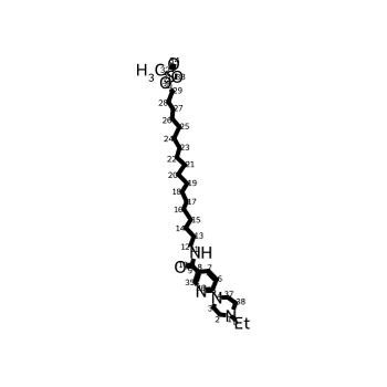 CCN1CCN(c2ccc(C(=O)NCCCCCCCCCCCCCCCCCCOS(C)(=O)=O)cn2)CC1